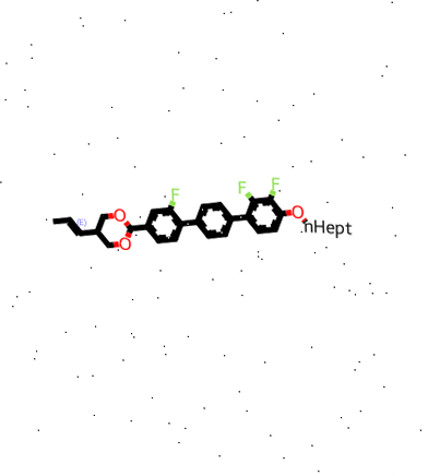 C/C=C/C1COC(c2ccc(-c3ccc(-c4ccc(OCCCCCCC)c(F)c4F)cc3)c(F)c2)OC1